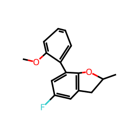 COc1ccccc1-c1cc(F)cc2c1OC(C)C2